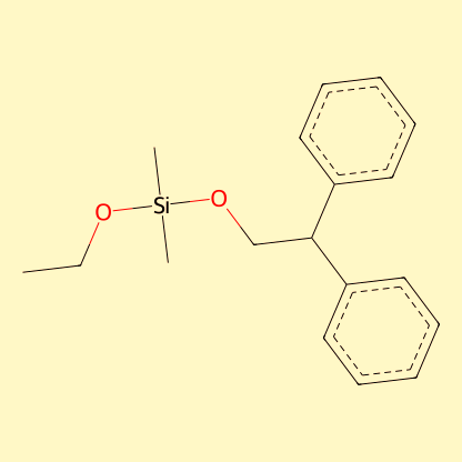 CCO[Si](C)(C)OCC(c1ccccc1)c1ccccc1